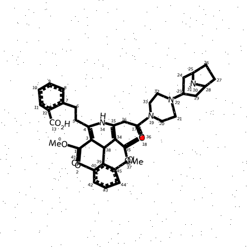 COC(=O)C1=C(CCc2ccccc2C(=O)O)NC(CC(=O)N2CCN(C3CC4CCC(C3)N4C)CC2)=C(C(=O)OC)C1c1c(Cl)cccc1Cl